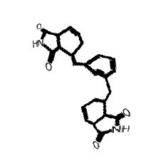 O=C1NC(=O)C2C(Cc3cccc(CC4CC=CC5C(=O)NC(=O)C45)c3)CC=CC12